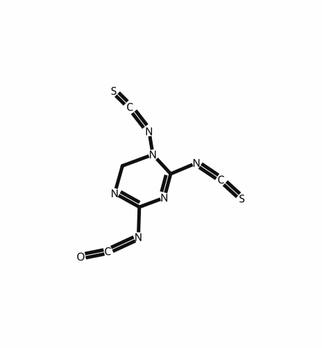 O=C=NC1=NCN(N=C=S)C(N=C=S)=N1